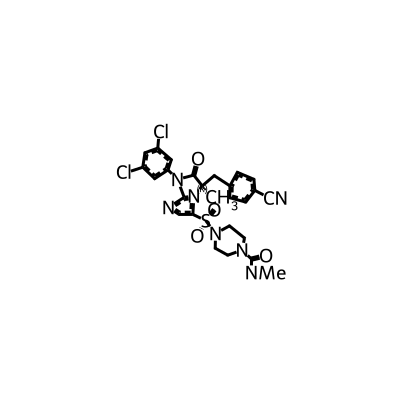 CNC(=O)N1CCN(S(=O)(=O)c2cnc3n2[C@](C)(Cc2ccc(C#N)cc2)C(=O)N3c2cc(Cl)cc(Cl)c2)CC1